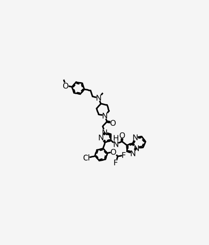 COc1ccc(CCN(C)C2CCN(C(=O)Cn3cc(NC(=O)c4cnn5cccnc45)c(-c4cc(Cl)ccc4OC(F)F)n3)CC2)cc1